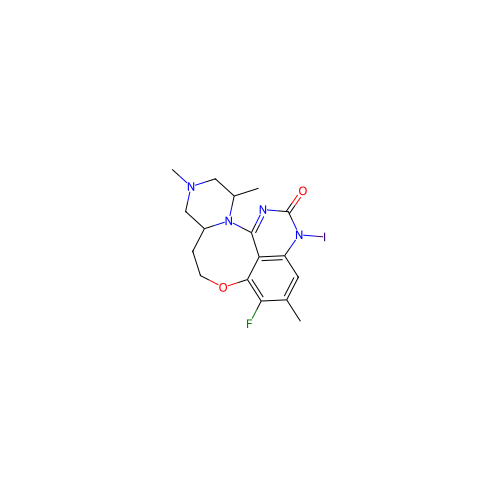 Cc1cc2c3c(nc(=O)n2I)N2C(C)CN(C)CC2CCOc3c1F